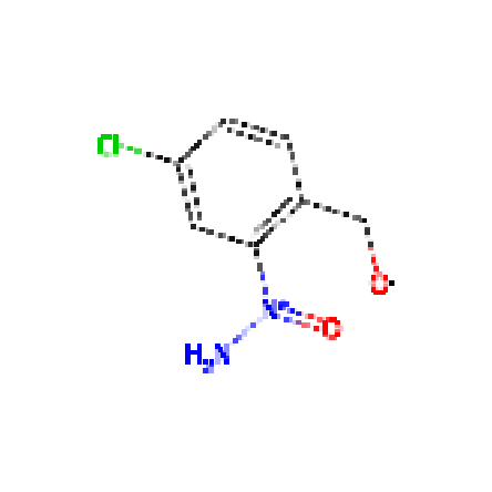 N[N+](=O)c1cc(Cl)ccc1C[O]